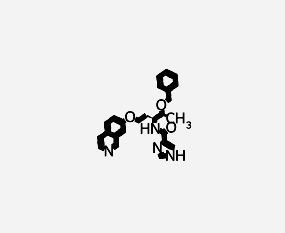 C[C@H](OCc1ccccc1)[C@@H](CCOc1ccc2ccncc2c1)NC(=O)c1c[nH]cn1